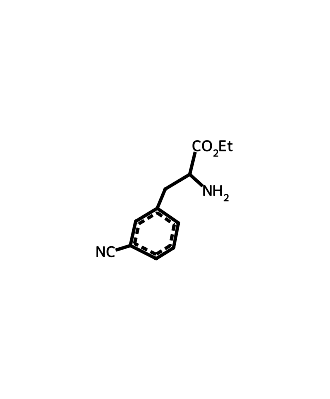 CCOC(=O)C(N)Cc1cccc(C#N)c1